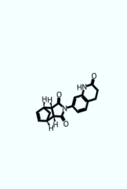 O=C1CCc2ccc(N3C(=O)[C@@H]4[C@H](C3=O)[C@@H]3C=C[C@H]4C3)cc2N1